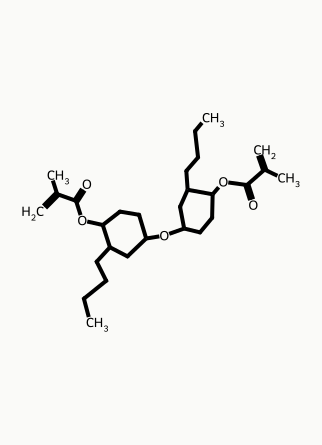 C=C(C)C(=O)OC1CCC(OC2CCC(OC(=O)C(=C)C)C(CCCC)C2)CC1CCCC